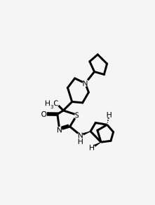 CC1(C2CCN(C3CCCC3)CC2)SC(N[C@H]2C[C@H]3CC[C@H]2C3)=NC1=O